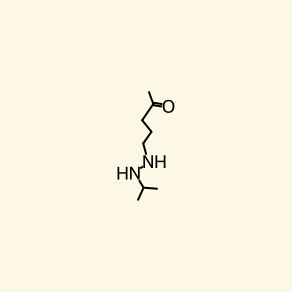 CC(=O)CCCNNC(C)C